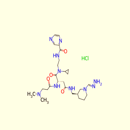 CN(C)CCC(=O)N[C@@H](CC(=O)NC[C@@H]1CCCN(C=NN)C1)C(=O)N(CCNC(=O)c1cnccn1)C1CC1.Cl